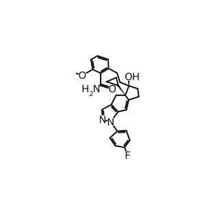 COc1cccc(CC[C@]2(O)CCC3=Cc4c(cnn4-c4ccc(F)cc4)C[C@@]32C2CC2)c1C(N)=O